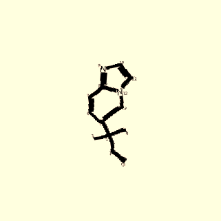 CCC(C)(C)c1ccc2nccn2c1